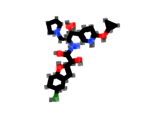 O=C(N[C@H](CN1CCCC1)[C@H](O)c1ccc(OC2CC2)nc1)C(=O)c1cc2cc(Cl)ccc2o1